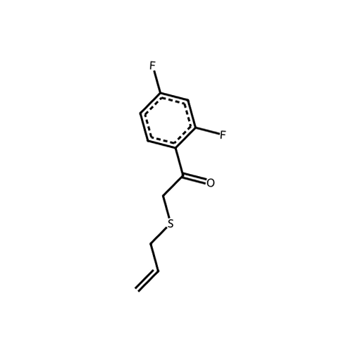 C=CCSCC(=O)c1ccc(F)cc1F